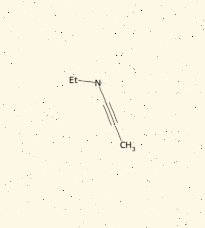 CC#C[N]CC